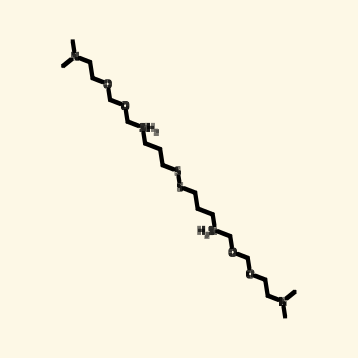 CN(C)CCOCOC[SiH2]CCCSSCCC[SiH2]COCOCCN(C)C